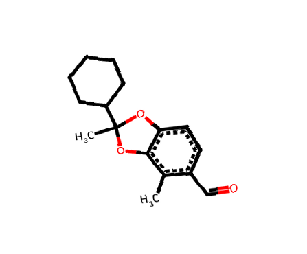 Cc1c(C=O)ccc2c1OC(C)(C1CCCCC1)O2